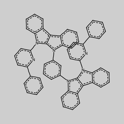 c1ccc(-c2cccc(-n3c4ccccc4c4c5ccccc5n(-c5cccc(-n6c7ccccc7c7c8ccccc8n(-c8cccc(-c9ccccc9)n8)c76)c5)c43)n2)cc1